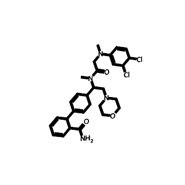 CN(CC(=O)N(C)C(CN1CCOCC1)C1C=CC(C2C=CC=CC2C(N)=O)=CC1)C1=CC(Cl)C(Cl)C=C1